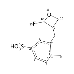 Cc1ccc(S(=O)(=O)O)cc1CC1COC1F